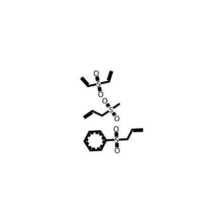 C=CCS(=O)(=O)c1ccccc1.C=CCS(C)(=O)=O.C=CS(=O)(=O)C=C